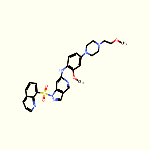 COCCN1CCN(c2ccc(Nc3cc4c(cn3)cnn4S(=O)(=O)c3cccc4cccnc34)c(OC)c2)CC1